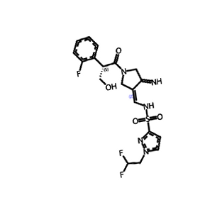 N=C1CN(C(=O)[C@H](CO)c2ccccc2F)C/C1=C/NS(=O)(=O)c1ccn(CC(F)F)n1